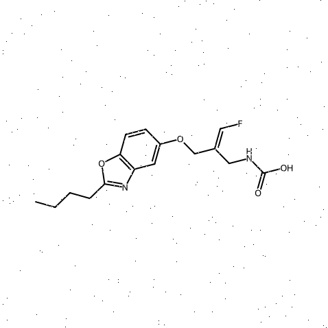 CCCCc1nc2cc(OCC(=CF)CNC(=O)O)ccc2o1